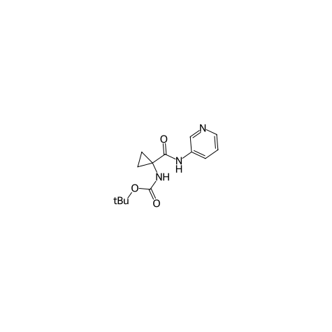 CC(C)(C)OC(=O)NC1(C(=O)Nc2cccnc2)CC1